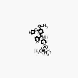 COc1ccc(C(NC2CCN(C(=O)OC(C)(C)C)CC2)c2cccnc2)nc1O[C@@H]1CCOC1